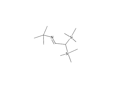 CC(C)(C)N=CC([Si](C)(C)C)[Si](C)(C)C